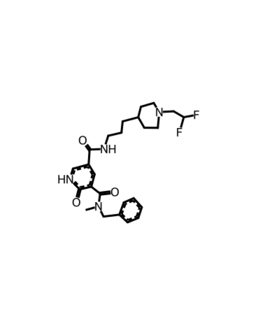 CN(Cc1ccccc1)C(=O)c1cc(C(=O)NCCCC2CCN(CC(F)F)CC2)c[nH]c1=O